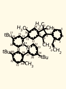 C=Cc1ccccc1C1=C(C)c2cc(-c3cc(C(C)(C)C)cc[n+]3-[n+]3ccc(C(C)(C)C)cc3-c3cc(C(C)(C)C)ccc3C)c(C)cc2C1(C)C